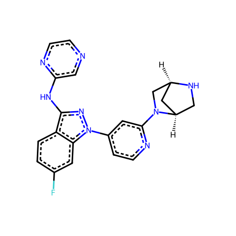 Fc1ccc2c(Nc3cnccn3)nn(-c3ccnc(N4C[C@@H]5C[C@H]4CN5)c3)c2c1